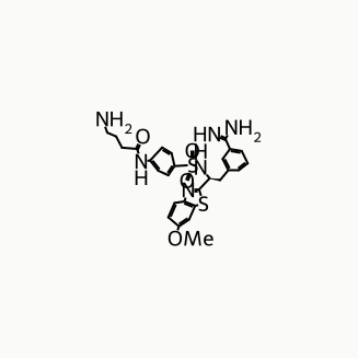 COc1ccc2nc([C@H](Cc3cccc(C(=N)N)c3)NS(=O)(=O)c3ccc(NC(=O)CCCN)cc3)sc2c1